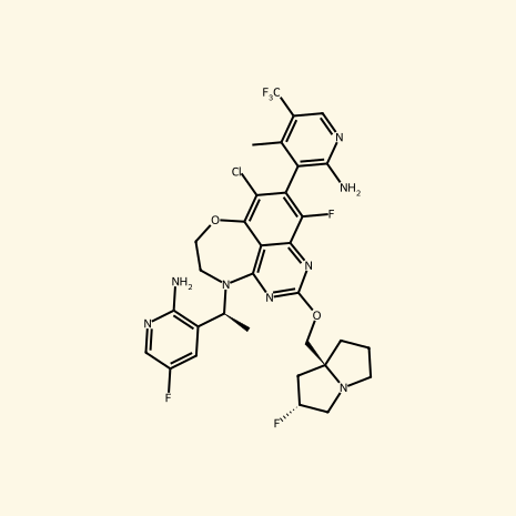 Cc1c(C(F)(F)F)cnc(N)c1-c1c(Cl)c2c3c(nc(OC[C@@]45CCCN4C[C@H](F)C5)nc3c1F)N([C@@H](C)c1cc(F)cnc1N)CCO2